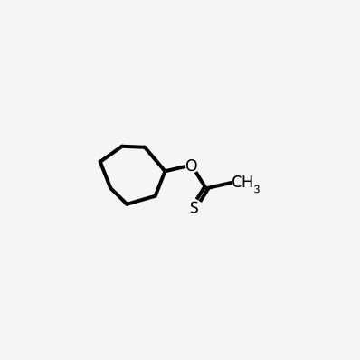 CC(=S)OC1CCCCCC1